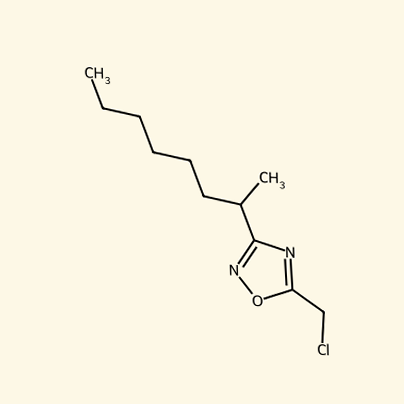 CCCCCCC(C)c1noc(CCl)n1